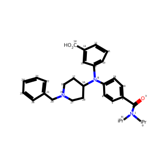 CC(C)N(C(=O)c1ccc(N(c2cccc(C(=O)O)c2)C2CCN(Cc3ccccc3)CC2)cc1)C(C)C